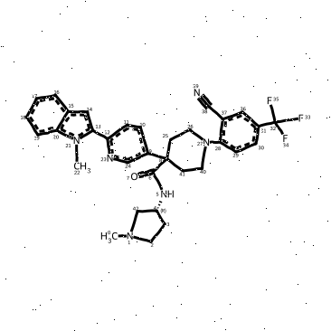 CN1CC[C@@H](NC(=O)C2(c3ccc(-c4cc5ccccc5n4C)nc3)CCN(c3ccc(C(F)(F)F)cc3C#N)CC2)C1